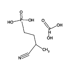 CC(C#N)CCP(=O)(O)O.O=[PH](O)O